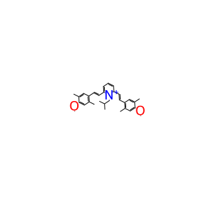 COc1cc(C)c(/C=C/c2cccc(/C=C/c3cc(C)c(OC)cc3C)[n+]2CC(C)C)cc1C